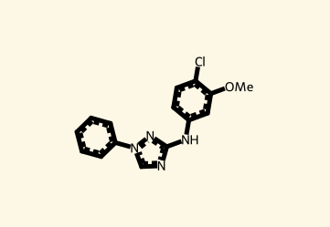 COc1cc(Nc2ncn(-c3ccccc3)n2)ccc1Cl